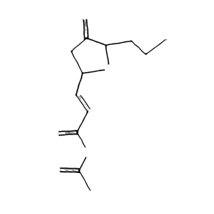 C=C1CC(/C=C/C(=O)OC(C)=O)OC1CCI